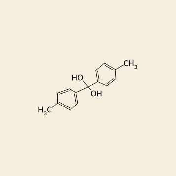 Cc1ccc(C(O)(O)c2ccc(C)cc2)cc1